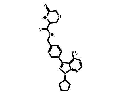 Nc1ncnc2c1c(-c1ccc(CNC(=O)C3COCC(=O)N3)cc1)nn2C1CCCC1